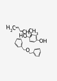 C=CC=C.Cc1cc(O)ccc1O.c1ccc(COCc2ccccc2)cc1